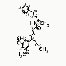 CCCC/C(=C\C=C\C(=O)N[C@H](C)CCCc1cccnc1)c1cc(OC)cc(OC)c1